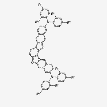 CC(C)c1ccc(N(c2ccc3cc4c(cc3c2)oc2c4ccc3oc4cc5cc(N(c6ccc(C(C)C)cc6C(C)C)c6ccc(C(C)C)cc6C(C)C)ccc5cc4c32)c2ccc(C(C)C)cc2C(C)C)c(C(C)C)c1